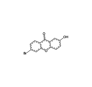 O=c1c2ccc(Br)cc2oc2ccc(O)cc12